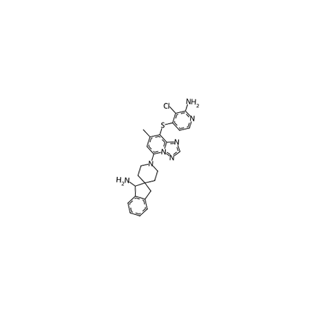 Cc1cc(N2CCC3(CC2)Cc2ccccc2C3N)n2ncnc2c1Sc1ccnc(N)c1Cl